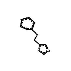 [c]1ccc(CCc2cscn2)cc1